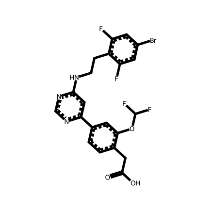 O=C(O)Cc1ccc(-c2cc(NCCc3c(F)cc(Br)cc3F)ncn2)cc1OC(F)F